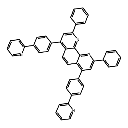 c1ccc(-c2cc(-c3ccc(-c4ccccn4)cc3)c3ccc4c(-c5ccc(-c6ccccn6)cc5)cc(-c5ccccc5)nc4c3n2)cc1